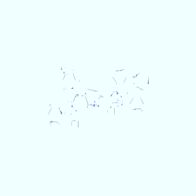 Cc1nn(C(c2ccccc2)(c2ccccc2)c2ccccc2)cc1-c1ccc(/C(=C\N[C@H](C)c2ccccc2)C2C=CC(Cl)=CC2)cn1